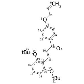 C=CCOc1ccc(C(=O)/C=C/c2c(OC(C)(C)C)cccc2OC(C)(C)C)cc1